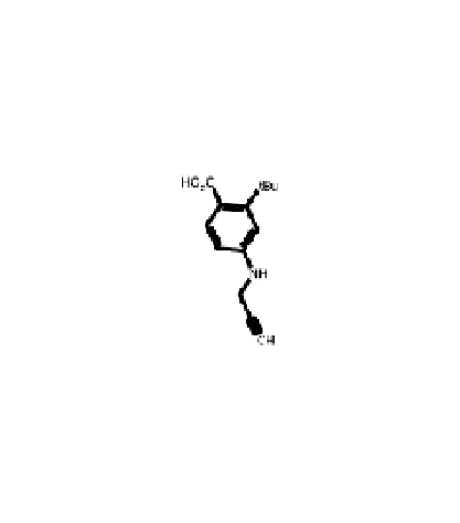 C#CCNc1ccc(C(=O)O)c(C(C)(C)C)c1